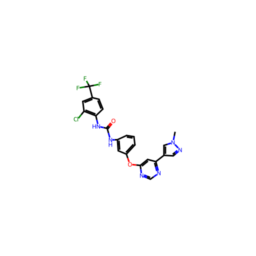 Cn1cc(-c2cc(Oc3cccc(NC(=O)Nc4ccc(C(F)(F)F)cc4Cl)c3)ncn2)cn1